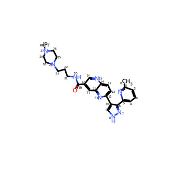 Cc1cccc(-c2n[nH]cc2-c2ccc3ncc(C(=O)NCCCN4CCN(C(C)C)CC4)cc3n2)n1